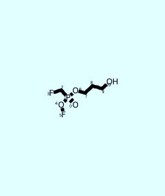 O=P(CF)(OF)OCCCO